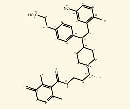 CC1=NCC(=O)C(C)=C1C(=O)NCC[C@@H](C)N1CCC(N(Cc2cc(C#N)ccc2F)c2ccc(OCC(=O)O)cc2)CC1